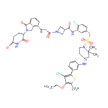 CC1(C)C[C@H](Nc2cccc(-c3sc(C(=O)O)c(OCC(=O)O)c3Cl)c2)CCN1S(=O)(=O)Cc1ccc(F)c(NC(=O)C2CN(C(=O)CNc3cccc4c3CN(C3CCC(=O)NC3=O)C4=O)C2)c1